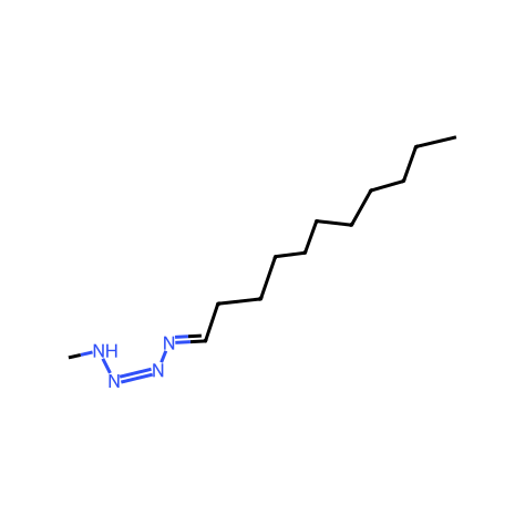 CCCCCCCCCCC=N/N=N\NC